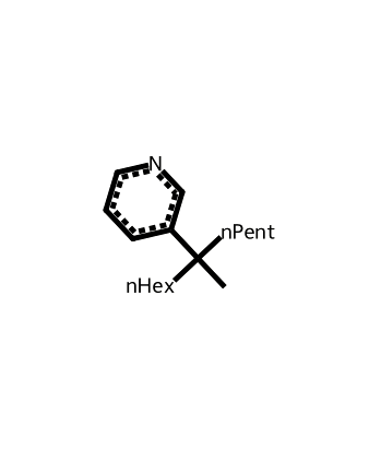 CCCCCCC(C)(CCCCC)c1cccnc1